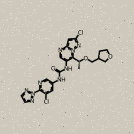 C[C@H](OCC1CCOC1)c1c(NC(=O)Nc2cnc(-n3nccn3)c(Cl)c2)cnc2cc(Cl)nn12